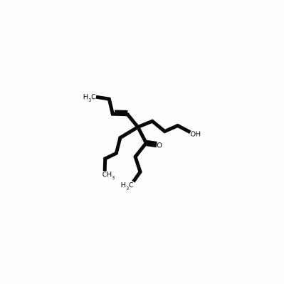 CCC=CC(CCCC)(CCCO)C(=O)CCC